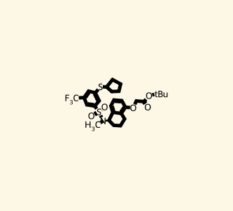 CN([C@@H]1CCCc2c(OCC(=O)OC(C)(C)C)cccc21)S(=O)(=O)c1cc(SC2CCCC2)cc(C(F)(F)F)c1